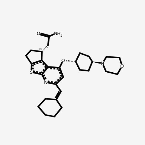 NC(=O)C[C@H]1CCc2sc3nc(C=C4CCCCC4)cc(O[C@H]4CC[C@H](N5CCOCC5)CC4)c3c21